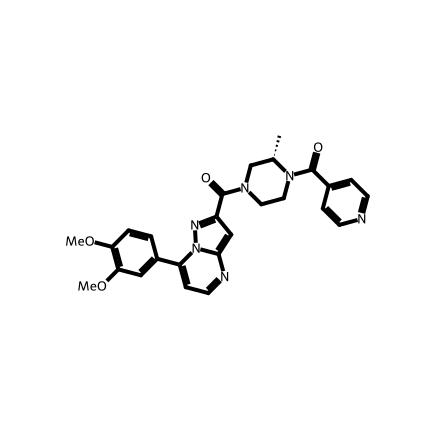 COc1ccc(-c2ccnc3cc(C(=O)N4CCN(C(=O)c5ccncc5)[C@@H](C)C4)nn23)cc1OC